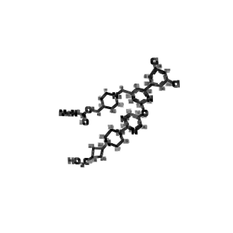 CNC(=O)OCC1CCN(Cc2cc(Oc3cnc(N4CCN(C5CC(C(=O)O)C5)CC4)nc3)nc(-c3cc(Cl)cc(Cl)c3)c2)CC1